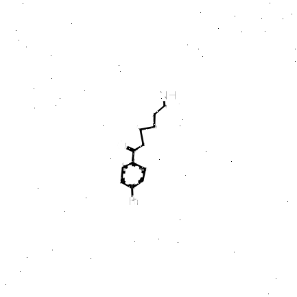 NCCCCCC(=O)c1ccc(Br)cc1